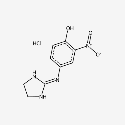 Cl.O=[N+]([O-])c1cc(N=C2NCCN2)ccc1O